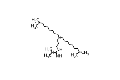 C=C(C)CCCCCCCN(CCCCCCCC(=C)C)CCCNC(=N)N(C)C